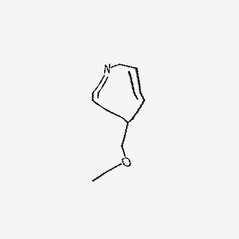 COC1C=CN=C1